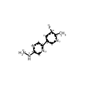 Cc1ncc(-c2cnc(NN)cn2)cc1F